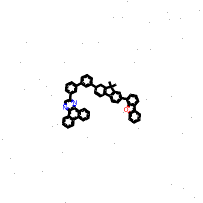 CC1(C)C2=C(C=CC(c3cccc(-c4cccc(-c5cnc6c7ccccc7c7ccccc7c6n5)c4)c3)C2)c2ccc(-c3cccc4c3oc3ccccc34)cc21